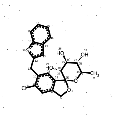 C[C@H]1O[C@]2(OCc3cc(Cl)c(Cc4cc5ccccc5s4)cc32)[C@H](O)[C@@H](O)[C@@H]1O